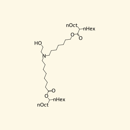 CCCCCCCCC(CCCCCC)OC(=O)CCCCCCCN(CCO)CCCCCCCOC(=O)C(CCCCCC)CCCCCCCC